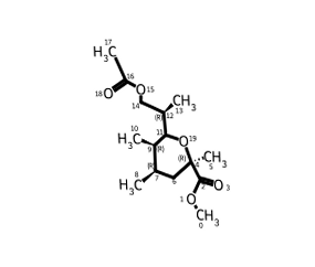 COC(=O)[C@@]1(C)C[C@@H](C)[C@@H](C)C([C@H](C)COC(C)=O)O1